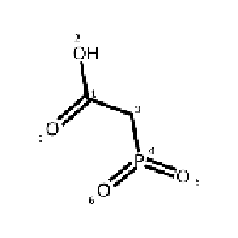 O=C(O)CP(=O)=O